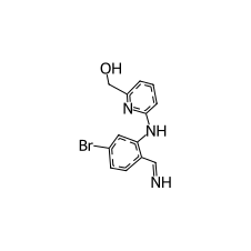 N=Cc1ccc(Br)cc1Nc1cccc(CO)n1